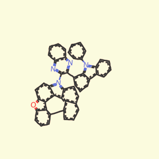 c1ccc(-n2c3ccccc3c3cccc(-c4nc5ccccc5nc4-n4c5ccc6cccc7c6c5c5c6c(ccc54)oc4cccc-7c46)c32)cc1